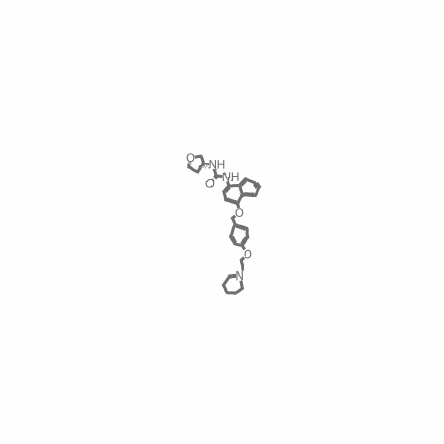 O=C(Nc1ccc(OCc2ccc(OCCN3CCCCC3)cc2)c2ccccc12)N[C@H]1CCOC1